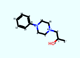 [CH2]C(O)CN1CCN(c2ccccc2)CC1